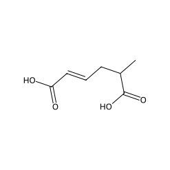 CC(CC=CC(=O)O)C(=O)O